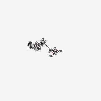 CN1CC[C@H]2CC[C@@H](C(=O)N[C@@H](CCC(N)=O)C(=O)N[C@H](C(=O)NCCCCCCCCNC(=O)c3ccc4c(c3)C(=O)OC43c4ccc(O)cc4Oc4cc(O)ccc43)c3ccccc3)N2C(=O)[C@@H](NC(=O)c2cc3cc(C(F)(F)P(=O)(O)O)ccc3[nH]2)C1